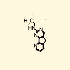 CCNc1ncc2c(n1)-c1ncccc1C2